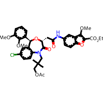 CCOC(=O)c1oc2ccc(NC(=O)C[C@H]3O[C@H](c4cccc(OC)c4OC)c4cc(Cl)ccc4N(CC(C)(C)COC(C)=O)C3=O)cc2c1OC